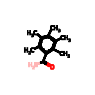 BC(=O)c1c(C)c(C)c(C)c(C)c1C